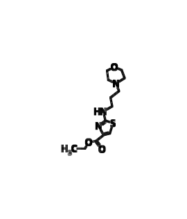 CCOC(=O)c1csc(NCCCN2CCOCC2)n1